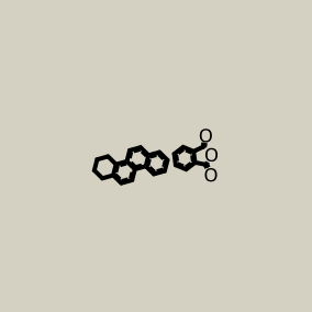 O=C1OC(=O)c2ccccc21.c1ccc2c(c1)ccc1c3c(ccc12)CCCC3